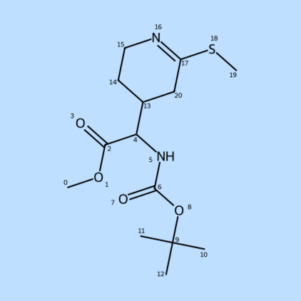 COC(=O)C(NC(=O)OC(C)(C)C)C1CCN=C(SC)C1